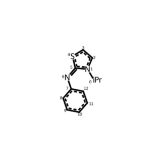 CC(C)n1ccsc1=Nc1ccccc1